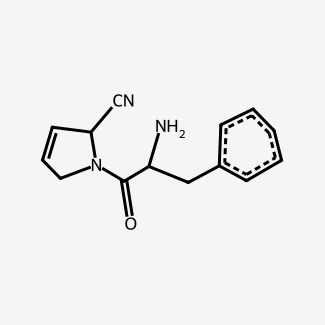 N#CC1C=CCN1C(=O)C(N)Cc1ccccc1